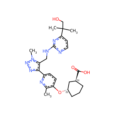 Cc1nc(-c2nnn(C)c2CNc2nccc(C(C)(C)CO)n2)ccc1O[C@H]1CCC[C@H](C(=O)O)C1